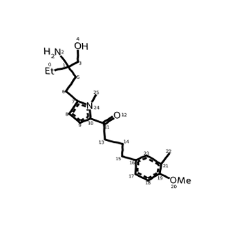 CCC(N)(CO)CCc1ccc(C(=O)CCCc2ccc(OC)c(C)c2)n1C